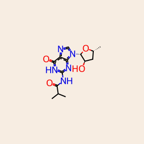 CC(C)C(=O)Nc1nc2c(ncn2[C@@H]2O[C@H](C)C[C@H]2O)c(=O)[nH]1